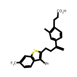 C=C(CCc1sc2cc(C(F)(F)F)ccc2c1C(C)C)c1ccc(CCC(=O)O)c(C)c1